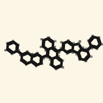 c1ccc(-c2ccc3ccc(-c4c5ccccc5c(-c5ccc6oc7c(-c8ccccc8)cccc7c6c5)c5ccccc45)cc3c2)cc1